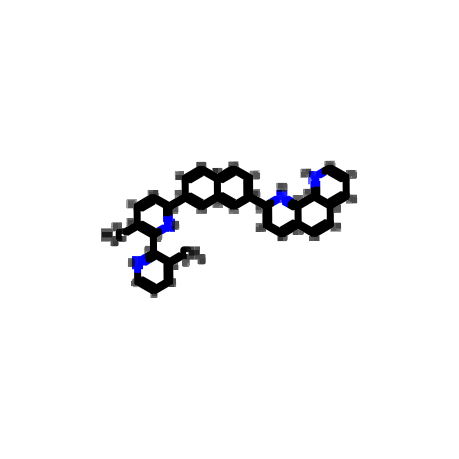 Cc1cccnc1-c1nc(-c2ccc3ccc(-c4ccc5ccc6cccnc6c5n4)cc3c2)ccc1C